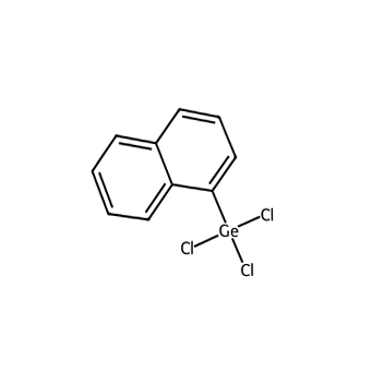 [Cl][Ge]([Cl])([Cl])[c]1cccc2ccccc12